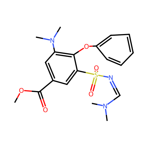 COC(=O)c1cc(N(C)C)c(Oc2ccccc2)c(S(=O)(=O)/N=C\N(C)C)c1